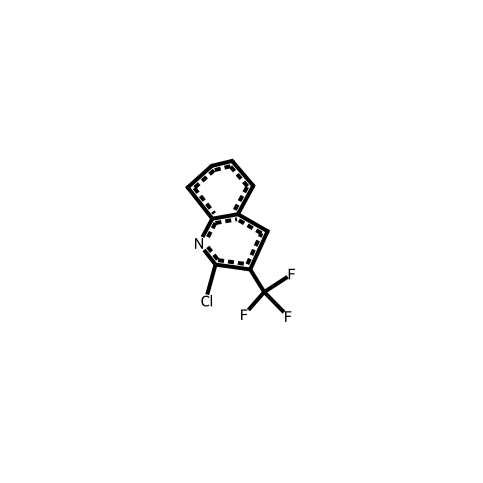 FC(F)(F)c1cc2ccccc2nc1Cl